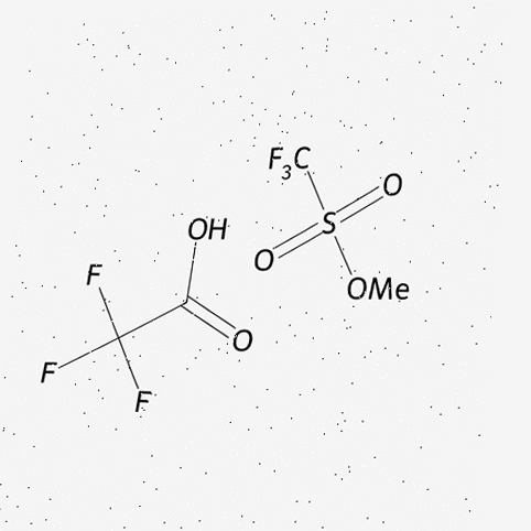 COS(=O)(=O)C(F)(F)F.O=C(O)C(F)(F)F